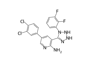 Nc1ncc(-c2ccc(Cl)c(Cl)c2)cc1C1=NNNN1c1cccc(F)c1F